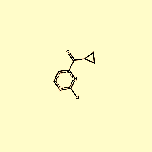 O=C(c1ccnc(Cl)n1)C1CC1